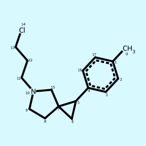 Cc1ccc(C2CC23CCN(CCCCl)C3)cc1